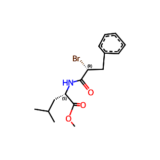 COC(=O)[C@H](CC(C)C)NC(=O)[C@H](Br)Cc1ccccc1